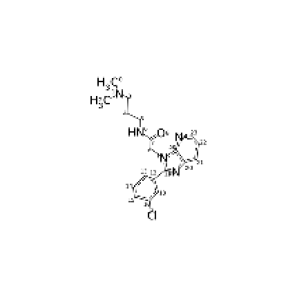 CN(C)CCCNC(=O)Cn1c(-c2cccc(Cl)c2)nc2cccnc21